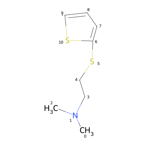 CN(C)CCSc1cc[c]s1